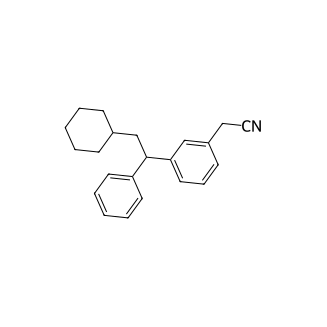 N#CCc1cccc(C(CC2CCCCC2)c2ccccc2)c1